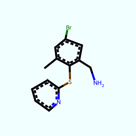 Cc1cc(Br)cc(CN)c1Sc1[c]cccn1